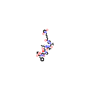 CC[C@H](C)[C@@H](C(CC(=O)N1CCC[C@H]1[C@H](OC)[C@@H](C)C(=O)N[C@@H](Cc1ccccc1)C(=O)OC(C)(C)C)OC)N(C)C(=O)[C@@H](NC(=O)[C@H](C(C)C)N1CCN(C(=O)CCCCCN2C(=O)C=CC2=O)CC1)C(C)C